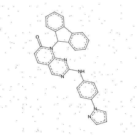 O=c1ccc2cnc(Nc3ccc(-n4cccn4)cc3)nc2n1C1c2ccccc2-c2ccccc21